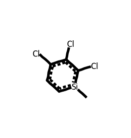 C[si]1ccc(Cl)c(Cl)c1Cl